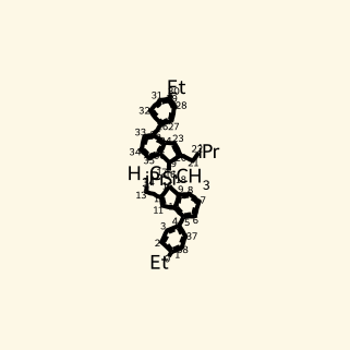 CCc1ccc(-c2cccc3c2C=C(CC(C)C)C3[Si](C)(C)C2C(CC(C)C)=Cc3c(-c4ccc(CC)cc4)cccc32)cc1